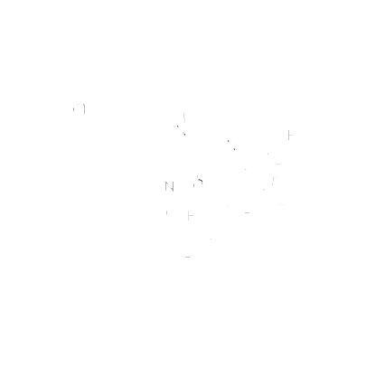 O=[N+]([O-])c1ccc(Cl)cc1NC1=NC(C(F)(F)F)(C(F)(F)F)/C(=C(\F)C(F)(F)F)S1